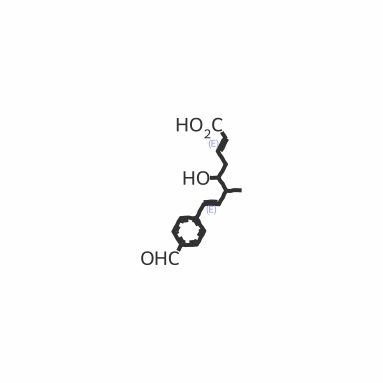 CC(/C=C/c1ccc(C=O)cc1)C(O)C/C=C/C(=O)O